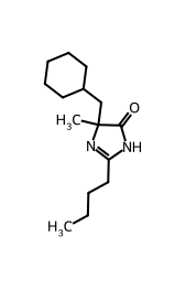 CCCCC1=NC(C)(CC2CCCCC2)C(=O)N1